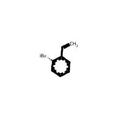 C=Cc1ccccc1[C@@H](C)CC